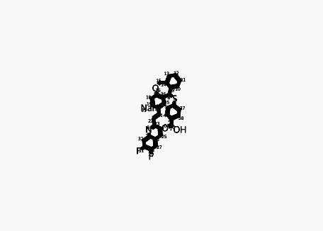 O=C(O)c1ccc(SC2c3ccccc3COc3ccc(C=Cc4ccc5cc(F)c(F)cc5n4)cc32)cc1.[NaH]